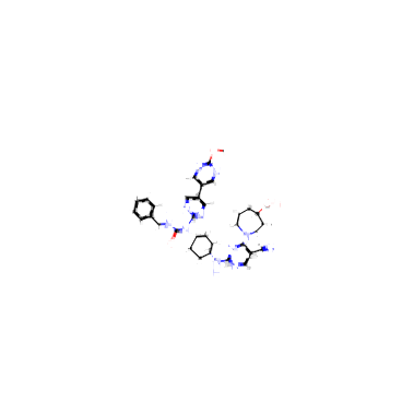 COc1ncc(-c2cnc(N(C(=O)NCc3ccccc3)[C@H]3CC[C@H](Nc4ncc(C#N)c(N5CCCC(O)CC5)n4)CC3)nc2)cn1